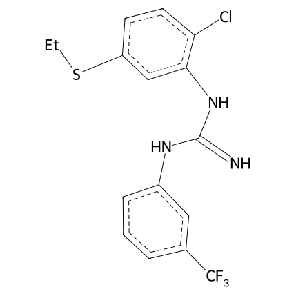 CCSc1ccc(Cl)c(NC(=N)Nc2cccc(C(F)(F)F)c2)c1